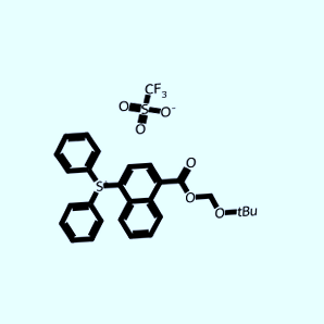 CC(C)(C)OCOC(=O)c1ccc([S+](c2ccccc2)c2ccccc2)c2ccccc12.O=S(=O)([O-])C(F)(F)F